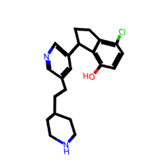 Oc1ccc(Cl)c2c1C(c1cncc(CCC3CCNCC3)c1)CC2